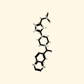 CC(c1ccc2nccnc2c1)N1CCN(c2nnc(CN(C)C)s2)CC1